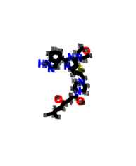 CC(C)C=CC(=O)CCC(=O)N1CCN(Cc2cc3nc(-c4cccc5[nH]ncc45)nc(N4CCOCC4)c3s2)CC1